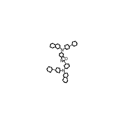 c1ccc(-c2ccc(N(c3cccc(-c4nc5ccc(N(c6ccc(-c7ccccc7)cc6)c6ccc7ccccc7c6)cc5o4)c3)c3ccc4ccccc4c3)cc2)cc1